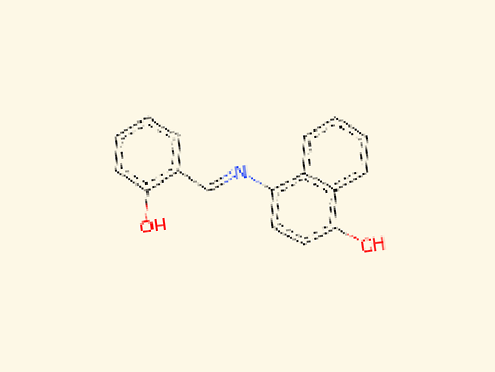 Oc1ccccc1C=Nc1ccc(O)c2ccccc12